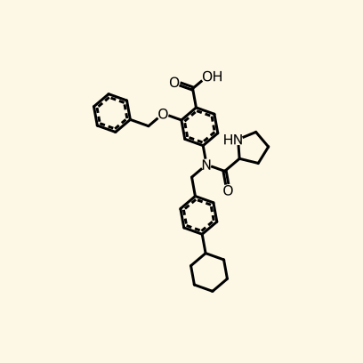 O=C(O)c1ccc(N(Cc2ccc(C3CCCCC3)cc2)C(=O)C2CCCN2)cc1OCc1ccccc1